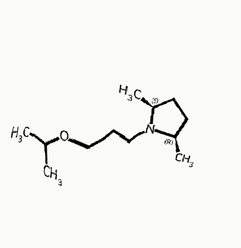 CC(C)OCCCN1[C@H](C)CC[C@@H]1C